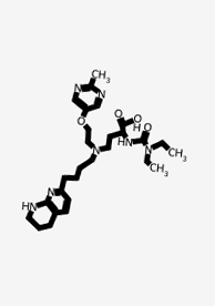 CCN(CC)C(=O)NC(CCN(CCCCc1ccc2c(n1)NCCC2)CCOc1cnc(C)nc1)C(=O)O